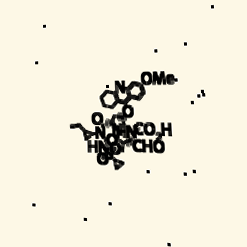 C=CC1CC1N(C(=O)NS(=O)(=O)C1CC1)C(=O)[C@@H]1C[C@@H](Oc2c3c(nc4cc(OC)ccc24)CCCC3)CN1CC(C)[C@@H](C=O)NC(=O)O